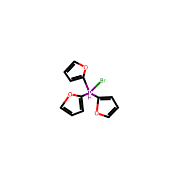 Br[PH](c1ccco1)(c1ccco1)c1ccco1